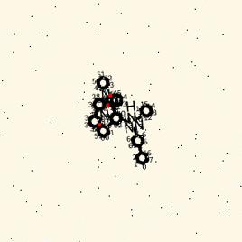 c1ccc(-c2ccc(C3=NC(c4ccccc4)NC(c4cc(-c5ccccc5)c(-n5c6ccccc6c6ccc7c(c8ccccc8n7-c7ccccc7)c65)c(-c5ccccc5)c4)=N3)cc2)cc1